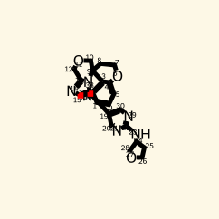 c1ccc2c(c1)OCCC21COCc2nc3ccc(-c4cnc(NC5CCOC5)nc4)nc3n21